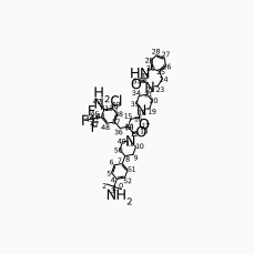 CC(C)(N)c1ccc(C2CCN(C(=O)[C@H](CC(=O)N3CCC(N4CCc5ccccc5NC4=O)CC3)Cc3cc(Cl)c(N)c(C(F)(F)F)c3)CC2)cc1